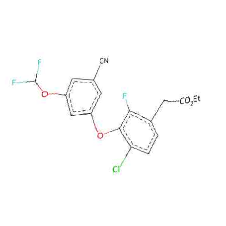 CCOC(=O)Cc1ccc(Cl)c(Oc2cc(C#N)cc(OC(F)F)c2)c1F